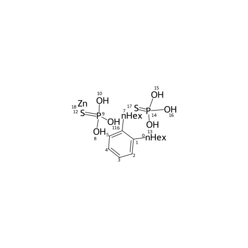 CCCCCCc1ccccc1CCCCCC.OP(O)(O)=S.OP(O)(O)=S.[Zn]